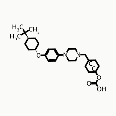 CC(C)(C)[C@H]1CC[C@H](Oc2ccc(N3CCN(CC45CCC(OC(=O)O)(CC4)CC5)CC3)cc2)CC1